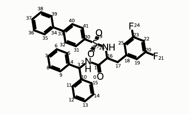 O=C(NC(c1ccccc1)c1ccccc1)C(Cc1cc(F)cc(F)c1)NS(=O)(=O)c1ccc(-c2ccccc2)cc1